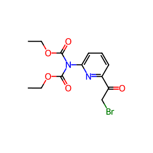 CCOC(=O)N(C(=O)OCC)c1cccc(C(=O)CBr)n1